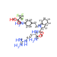 N=C(N)NCCCC(NC(=O)c1cc2ccccc2n1CCc1ccc(N)cc1)C(N)=O.O=C(O)C(F)(F)F